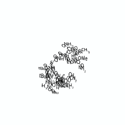 CCn1nc(C)cc1C(=O)Nc1nc2cc(C(N)=O)cc(OC)c2n1C/C=C/Cn1c(NC(=O)c2cc(C)nn2CC)nc2cc(C(N)=O)cc(OCCCNC(=O)CCNC(=O)OCCSSC[C@H](NC(=O)[C@H](CC(=O)OC(C)(C)C)NC(=O)[C@H](CC(=O)OC(C)(C)C)NC(=O)[C@H](CCCNC(=N)NS(=O)(=O)c3c(C)c(C)c4c(c3C)CC(C)(C)O4)NC(=O)[C@@H](N)CC(=O)OC(C)(C)C)C(=O)OC(C)(C)C)c21